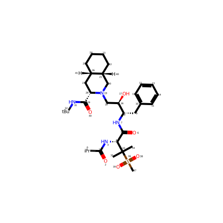 CC(C)C(=O)N[C@H](C(=O)N[C@@H](Cc1ccccc1)[C@H](O)CN1C[C@H]2CCCC[C@H]2C[C@H]1C(=O)NC(C)(C)C)C(C)(C)S(C)(=O)=O